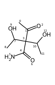 CC(=O)C(C(N)=O)(C(C)O)C(C)O